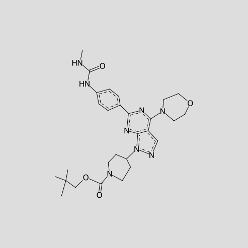 CNC(=O)Nc1ccc(-c2nc(N3CCOCC3)c3cnn(C4CCN(C(=O)OCC(C)(C)C)CC4)c3n2)cc1